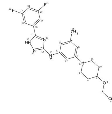 CCOC1CCN(c2cc(C)cc(Nc3n[nH]c(-c4cc(F)cc(F)c4)n3)c2)CC1